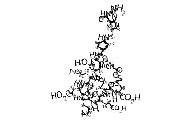 CNC(=O)OSSC[C@@H](NC(=O)[C@H](CCC(C)=O)NC(=O)[C@@H](CCC(=O)O)NC(=O)[C@H](CCC(C)=O)NC(=O)[C@@H](CCC(=O)O)NC(=O)[C@H](CCC(C)=O)NC(=O)CC[C@H](NC(=O)c1ccc(NCc2cnc3nc(N)[nH]c(=O)c3n2)cc1)C(=O)O)C(=O)O